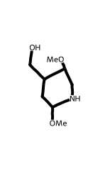 COC1CC(CO)C(OC)CN1